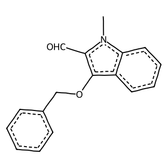 Cn1c(C=O)c(OCc2ccccc2)c2ccccc21